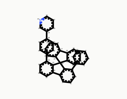 c1ccc(-c2cccc3c2C2(c4ccccc4-c4ccccc42)c2c(-c4ccc(-c5cccnc5)cc4)cccc2-3)cc1